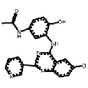 CC(=O)Nc1ccc(O)c(Nc2nc(-c3cccnc3)nc3ccc(Cl)cc23)c1